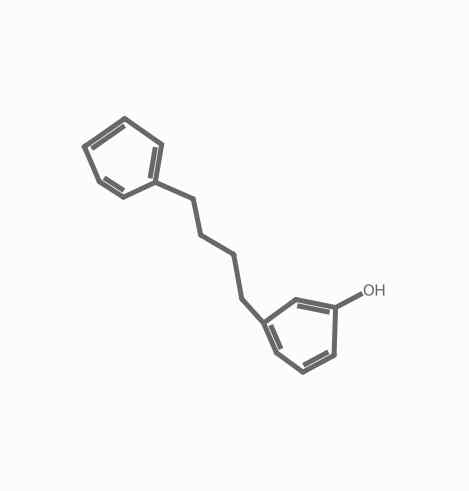 Oc1cccc(CCCCc2ccccc2)c1